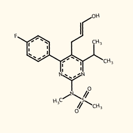 CC(C)c1nc(N(C)S(C)(=O)=O)nc(-c2ccc(F)cc2)c1CC=CO